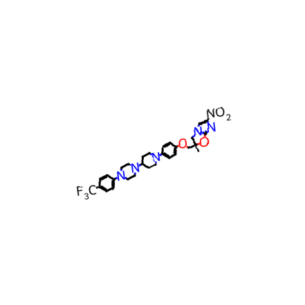 C[C@@]1(COc2ccc(N3CCC(N4CCN(c5ccc(C(F)(F)F)cc5)CC4)CC3)cc2)Cn2cc([N+](=O)[O-])nc2O1